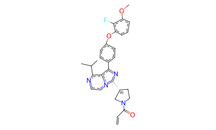 C=CC(=O)N1CC[C@@H](c2nc(-c3ccc(Oc4cccc(OC)c4F)cc3)c3c(C(C)C)nccn23)C1